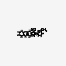 Cc1cccc(-n2nc3c(c2O)CCN(CC2=CCCC=C2)C3)n1